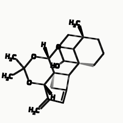 C=C1C=C2C[C@@]34C2[C@@]25CCC[C@@](C)(COC2O)C5C[C@H]3OC(C)(C)O[C@@H]14